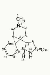 CN1CCC2(CC1)c1ccccc1[C@H]1NC(=O)CC12